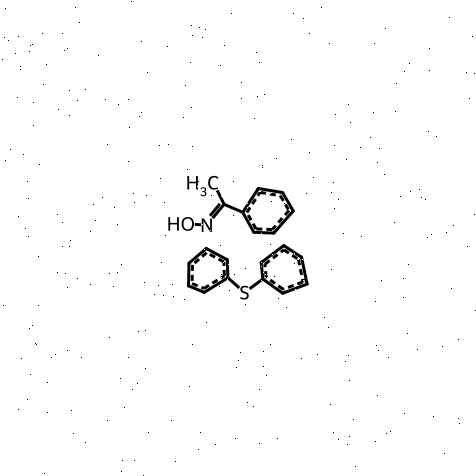 CC(=NO)c1ccccc1.c1ccc(Sc2ccccc2)cc1